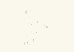 CCc1[nH]c2nc(Sc3ccc4c(N)nc(C)nc4c3)nc(N3CC[C@@H](N)C3)c2c1Cl